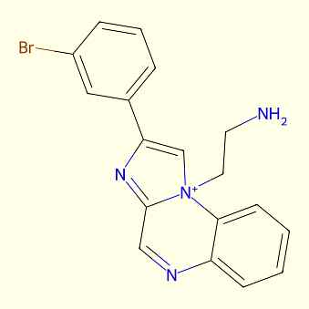 NCC[N+]12C=C(c3cccc(Br)c3)N=C1C=Nc1ccccc12